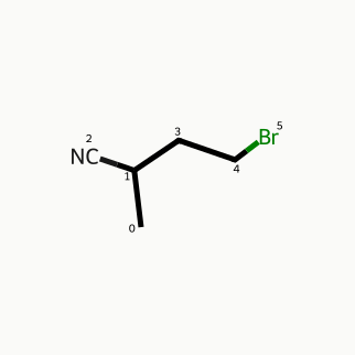 CC(C#N)CCBr